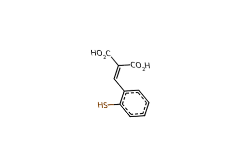 O=C(O)C(=Cc1ccccc1S)C(=O)O